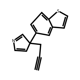 C#CCC1(c2ccc3sccc3c2)C=CN=C1